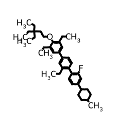 CCc1cc(-c2cc(CC)c(OCCC(CC)(CC)CC)c(CC)c2)ccc1-c1ccc(C2CCC(C)CC2)cc1F